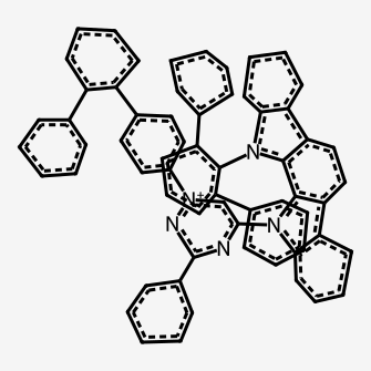 c1ccc(-c2nc(-n3c4ccccc4c4ccc5c6ccccc6n(-c6c(-c7ccccc7)cccc6-c6ccccc6)c5c43)c[n+](-c3ccc(-c4ccccc4-c4ccccc4)cc3)n2)cc1